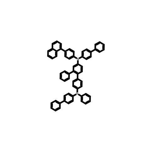 c1ccc(-c2ccc(N(c3ccccc3)c3ccc(-c4ccc(N(c5ccc(-c6ccccc6)cc5)c5ccc(-c6cccc7ccccc67)cc5)cc4-c4ccccc4)cc3)cc2)cc1